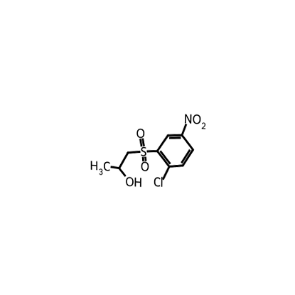 CC(O)CS(=O)(=O)c1cc([N+](=O)[O-])ccc1Cl